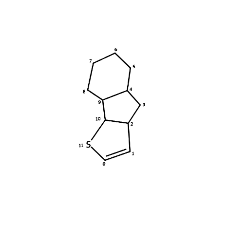 C1=CC2CC3CCCCC3C2S1